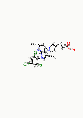 Cc1cc(N2CCC(CCC(=O)O)CC2)c2c(C)cn(-c3c(Cl)cc(Cl)cc3Cl)c2n1